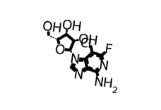 Nc1nc(F)c(Cl)c2c1ncn2[C@@H]1O[C@H](CO)[C@@H](O)[C@H]1O